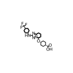 O=C(O)[C@H]1CC[C@H](Oc2cccc3nc(Nc4ccc(C(F)(F)F)cc4)nn23)CC1